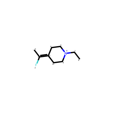 [CH2]C(F)=C1CCN(CC)CC1